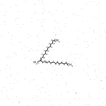 [CH2]C(CSCCCCCCCCCCC)SCCCCCCCCCCC